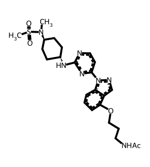 CC(=O)NCCCOc1cccc2c1cnn2-c1ccnc(N[C@H]2CC[C@H](N(C)S(C)(=O)=O)CC2)n1